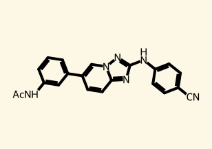 CC(=O)Nc1cccc(-c2ccc3nc(Nc4ccc(C#N)cc4)nn3c2)c1